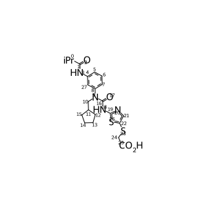 CC(C)C(=O)Nc1cccc(N(CC2CCCC2)C(=O)Nc2ncc(SCC(=O)O)s2)c1